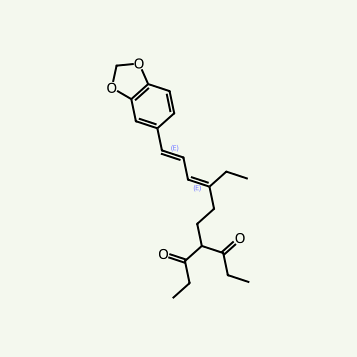 CCC(=O)C(CC/C(=C/C=C/c1ccc2c(c1)OCO2)CC)C(=O)CC